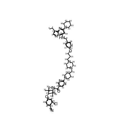 CCc1cnn2c(NCc3ccc(OCCCN4CCN(CC5CCN(c6ncc(C(=O)NC7C(C)(C)C(Oc8ccc(C#N)c(Cl)c8)C7(C)C)cn6)CC5)CC4)nc3)cc(N3CCCCC3)nc12